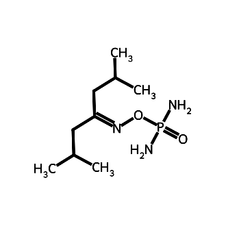 CC(C)CC(CC(C)C)=NOP(N)(N)=O